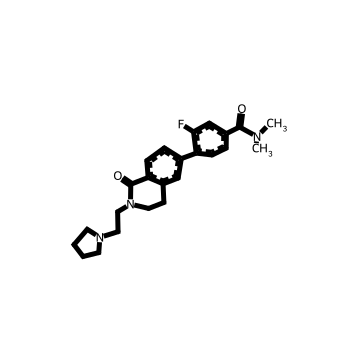 CN(C)C(=O)c1ccc(-c2ccc3c(c2)CCN(CCN2CCCC2)C3=O)c(F)c1